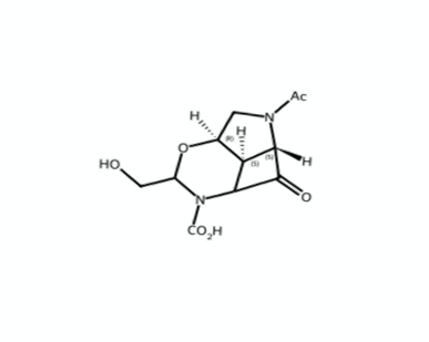 CC(=O)N1C[C@@H]2OC(CO)N(C(=O)O)C3C(=O)[C@@H]1[C@@H]32